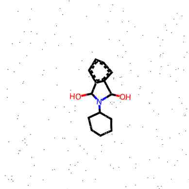 OC1c2ccccc2C(O)N1C1CCCCC1